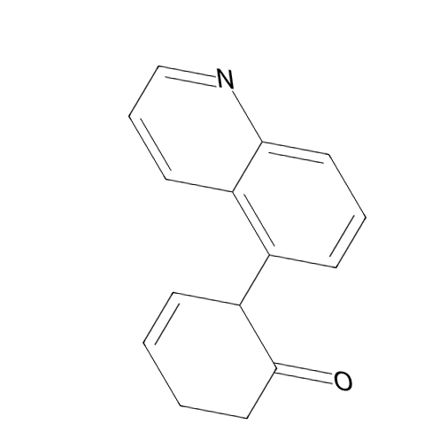 O=C1CCC=CC1c1cccc2ncccc12